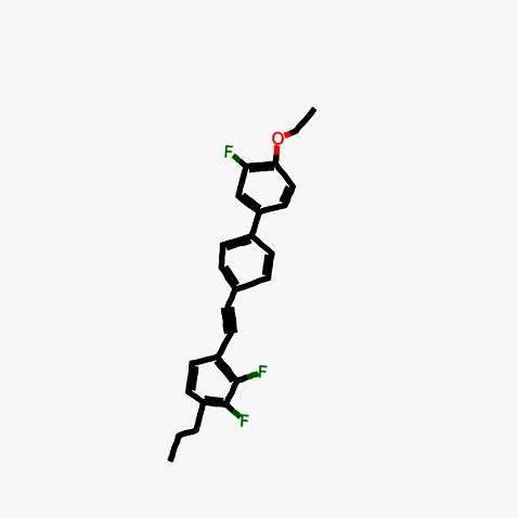 CCCc1ccc(C#Cc2ccc(-c3ccc(OCC)c(F)c3)cc2)c(F)c1F